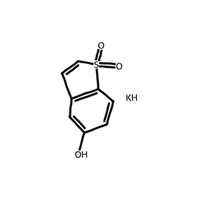 O=S1(=O)C=Cc2cc(O)ccc21.[KH]